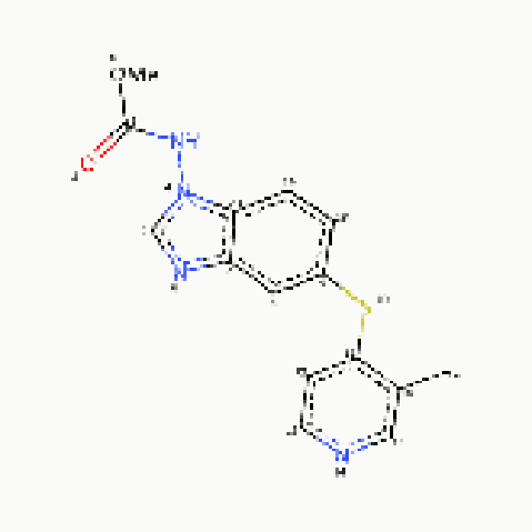 COC(=O)Nn1cnc2cc(Sc3ccncc3C)ccc21